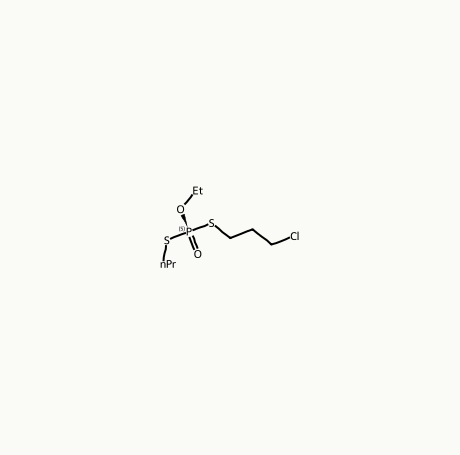 CCCS[P@](=O)(OCC)SCCCCl